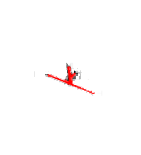 CCCCCCCCCCCCCCCCCCN(CCCCCCCCCCCCCCCCCC)CC(=O)NC(=O)C(CCCNCCCN)NCCCN